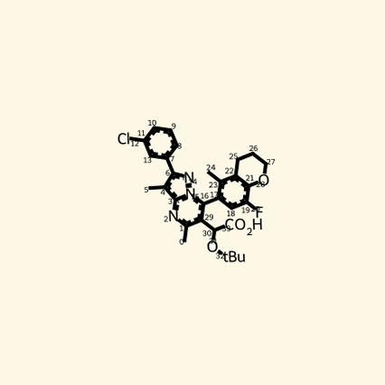 Cc1nc2c(C)c(-c3cccc(Cl)c3)nn2c(-c2cc(F)c3c(c2C)CCCO3)c1C(OC(C)(C)C)C(=O)O